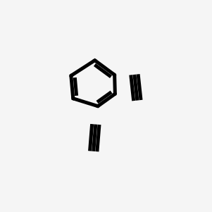 C#C.C#C.c1ccccc1